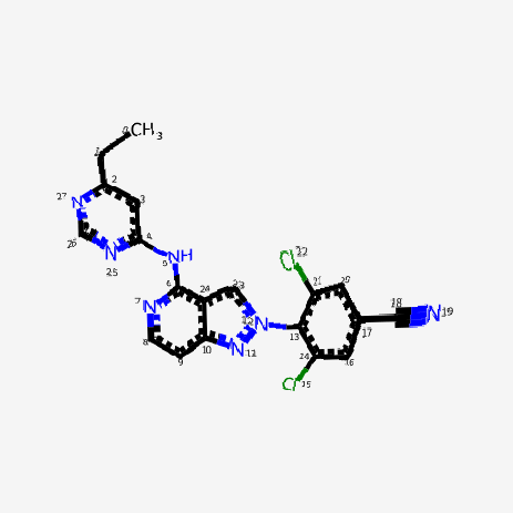 CCc1cc(Nc2nccc3nn(-c4c(Cl)cc(C#N)cc4Cl)cc23)ncn1